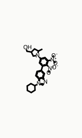 CC1CC(CO)CN1c1cc(-c2ccc3c(c2)ncn3C2CCCCC2)c([N+](=O)[O-])c([N+](=O)[O-])c1